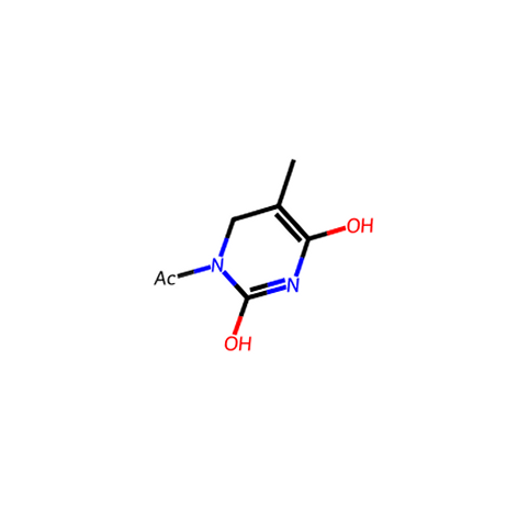 CC(=O)N1CC(C)=C(O)N=C1O